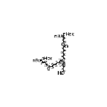 CCCCCCC(CCCC)CCCOC(=O)CCCCCCN(CCCCCO)CC(O)CCCCC(=O)OCCCC(CCCC)CCCCCC